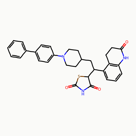 O=C1CCc2c(cccc2C(CC2CCN(c3ccc(-c4ccccc4)cc3)CC2)C2SC(=O)NC2=O)N1